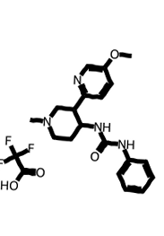 COc1ccc(C2CN(C)CCC2NC(=O)Nc2ccccc2)nc1.O=C(O)C(F)(F)F